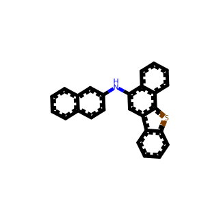 c1ccc2cc(Nc3cc4c5ccccc5sc4c4ccccc34)ccc2c1